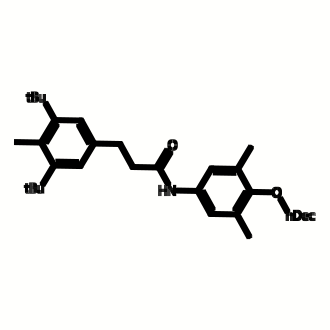 CCCCCCCCCCOc1c(C)cc(NC(=O)CCc2cc(C(C)(C)C)c(C)c(C(C)(C)C)c2)cc1C